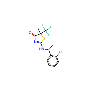 CC(NC1=NC(=O)C(C)(C(F)(F)F)S1)c1ccccc1Cl